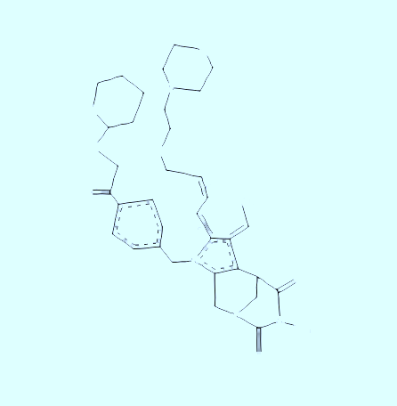 C/C=c1/c2c(n(Cc3ccc(C(=O)COC4CCCCO4)cc3)/c1=C/C=C\COCCN1CCOCC1)CN1CC2C(=O)N(C)C1=O